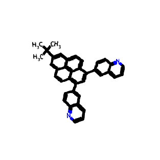 CC(C)(C)c1cc2ccc3c(-c4ccc5ncccc5c4)cc(-c4ccc5ncccc5c4)c4ccc(c1)c2c34